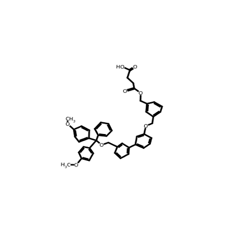 COc1ccc(C(OCc2cccc(-c3cccc(OCc4cccc(COC(=O)CCC(=O)O)c4)c3)c2)(c2ccccc2)c2ccc(OC)cc2)cc1